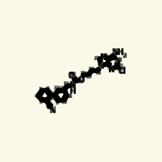 N#Cc1ccccc1-c1cccc(CNC(=O)OCCCCn2cnc3c(N)nc(Cl)nc32)c1